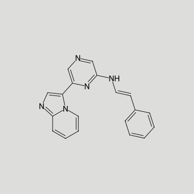 C(=Cc1ccccc1)Nc1cncc(-c2cnc3ccccn23)n1